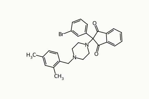 Cc1ccc(CN2CCN(C3(c4cccc(Br)c4)C(=O)c4ccccc4C3=O)CC2)c(C)c1